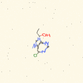 CCC(O)n1cnc2c(Cl)ncnc21